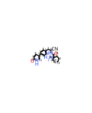 N#CC(Cc1ccc(-c2ccc(=O)[nH]c2)cc1)NC(=O)C1(N)CCCCC1